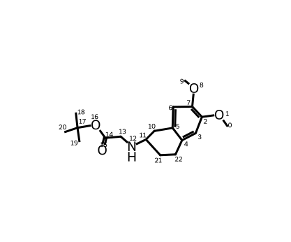 COc1cc2c(cc1OC)CC(NCC(=O)OC(C)(C)C)CC2